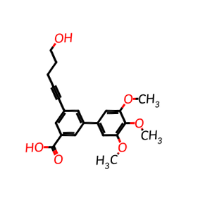 COc1cc(-c2cc(C#CCCCO)cc(C(=O)O)c2)cc(OC)c1OC